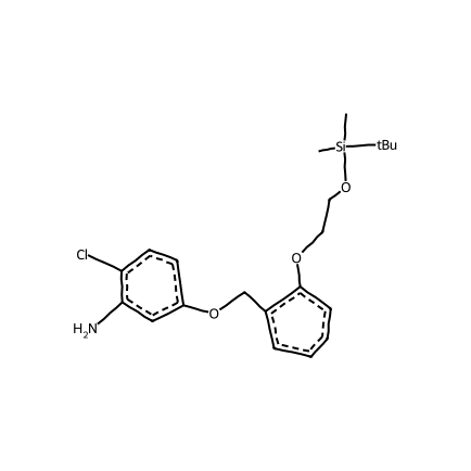 CC(C)(C)[Si](C)(C)OCCOc1ccccc1COc1ccc(Cl)c(N)c1